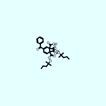 CCCC(C)(C)OOC(=O)C1(C(=O)OOC(C)(C)CCC)C=CC(C(=O)c2ccccc2)=CC1(C(=O)O)C(=O)O